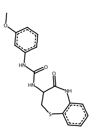 COc1cccc(NC(=O)NC2CSc3ccccc3NC2=O)c1